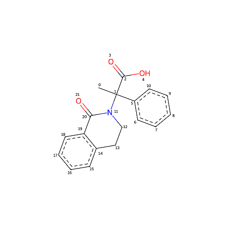 CC(C(=O)O)(c1ccccc1)N1CCc2ccccc2C1=O